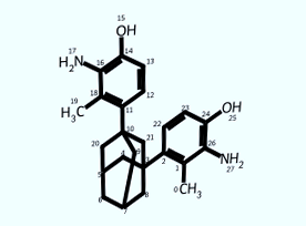 Cc1c(C23CC4CC(C2)CC(c2ccc(O)c(N)c2C)(C4)C3)ccc(O)c1N